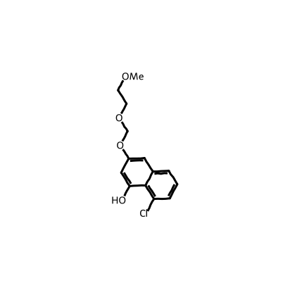 COCCOCOc1cc(O)c2c(Cl)cccc2c1